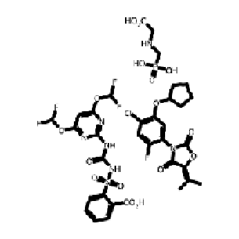 CC(C)=C1OC(=O)N(c2cc(OC3CCCC3)c(Cl)cc2F)C1=O.O=C(Nc1nc(OC(F)F)cc(OC(F)F)n1)NS(=O)(=O)c1ccccc1C(=O)O.O=C(O)CNCP(=O)(O)O